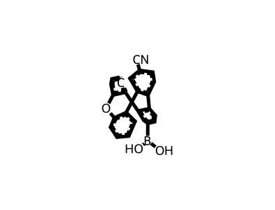 N#Cc1ccc2c(c1)C1(c3ccccc3Oc3ccccc31)c1cc(B(O)O)ccc1-2